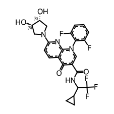 O=C(NC(C1CC1)C(F)(F)F)c1cn(-c2c(F)cccc2F)c2nc(N3C[C@@H](O)[C@H](O)C3)ccc2c1=O